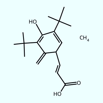 C.C=C1C(C(C)(C)C)=C(O)C(C(C)(C)C)=CC1C=CC(=O)O